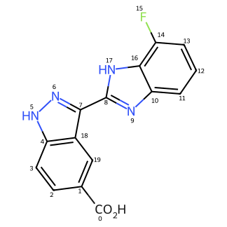 O=C(O)c1ccc2[nH]nc(-c3nc4cccc(F)c4[nH]3)c2c1